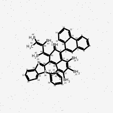 B=c1c(-c2cc3ccccc3c3ccccc23)c2c(B)c(B)c(B)c(B)c2c(-c2nc3ccccc3n2-c2ccccc2)/c1=C(B)/C(B)=C(/B)C